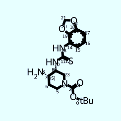 CC(C)(C)OC(=O)N1CC[C@H](N)[C@H](NC(=S)Nc2cccc3c2OCO3)C1